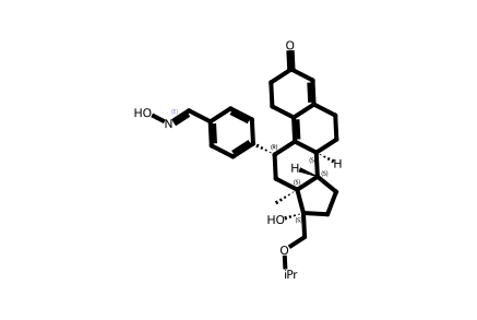 CC(C)OC[C@]1(O)CC[C@H]2[C@@H]3CCC4=CC(=O)CCC4=C3[C@@H](c3ccc(/C=N/O)cc3)C[C@@]21C